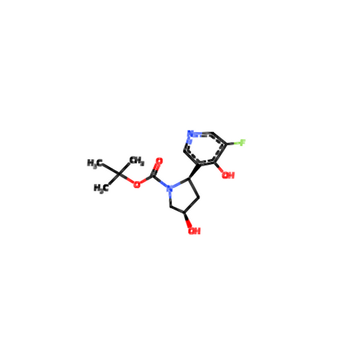 CC(C)(C)OC(=O)N1C[C@H](O)C[C@@H]1c1cncc(F)c1O